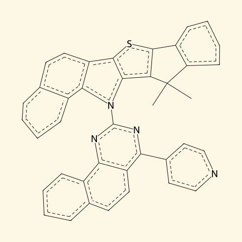 CC1(C)c2ccccc2-c2sc3c4ccc5ccccc5c4n(-c4nc(-c5ccncc5)c5ccc6ccccc6c5n4)c3c21